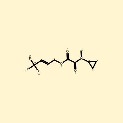 CN(C(=O)C(=O)OC/C=C/C(F)(F)F)C1CC1